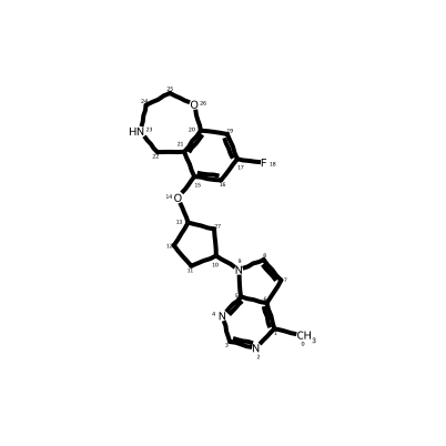 Cc1ncnc2c1ccn2C1CCC(Oc2cc(F)cc3c2CNCCO3)C1